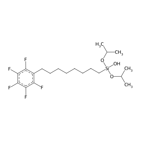 CC(C)O[Si](O)(CCCCCCCCc1c(F)c(F)c(F)c(F)c1F)OC(C)C